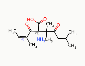 C/C=C(/C)C(=O)[C@@](N)(C(=O)O)C(C)(C)C(=O)CC(C)C